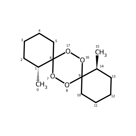 C[C@@H]1CCCCC12OOC1(CCCC[C@@H]1C)OO2